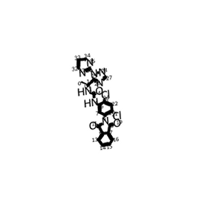 C[C@H](NC(=O)Nc1cc(N2C(=O)c3ccccc3C2=O)c(Cl)cc1Cl)c1ncnn1-c1ncccn1